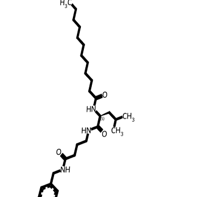 CCCCCCCCCCCC(=O)N[C@@H](CC(C)C)C(=O)NCCCC(=O)NCc1ccncc1